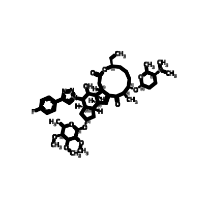 CC[C@H]1CCC[C@H](O[C@H]2CC[C@H](N(C)C)C(C)O2)[C@@H](C)C(=O)C2=C[C@H]3[C@@H]4C[C@H](O[C@@H]5OC(C)[C@H](OC)C(OC)C5OC)C[C@H]4C(n4cc(-c5ccc(F)cc5)nn4)C(O)[C@H]3[C@@H]2CC(=O)O1